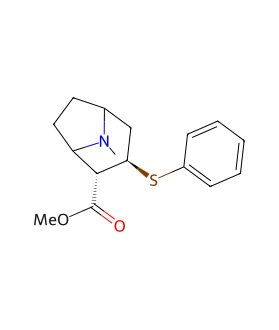 COC(=O)[C@@H]1C2CCC(C[C@H]1Sc1ccccc1)N2C